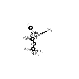 CCCCCCCCN(O)C(=O)Nc1cc(C2CCC(c3cc(OC)c(OC)c(OC)c3)O2)cc(OC)c1OCCSc1ccc(F)cc1